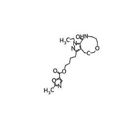 CCn1nc(CCCCOC(=O)c2cnc(C)o2)c2c1C(=O)NCCCOCCC2